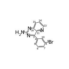 Nc1nc(-c2cccc(Br)c2)c2ncccc2n1